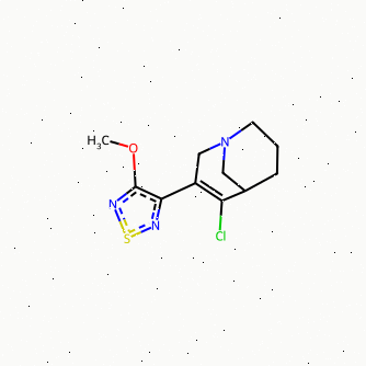 COc1nsnc1C1=C(Cl)C2CCCN(C1)C2